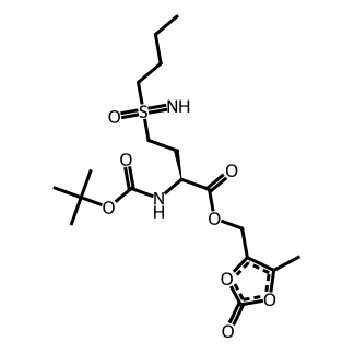 CCCCS(=N)(=O)CC[C@H](NC(=O)OC(C)(C)C)C(=O)OCc1oc(=O)oc1C